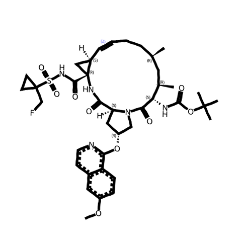 COc1ccc2c(O[C@@H]3C[C@H]4C(=O)N[C@]5(C(=O)NS(=O)(=O)C6(CF)CC6)C[C@H]5/C=C\CC[C@@H](C)C[C@@H](C)[C@H](NC(=O)OC(C)(C)C)C(=O)N4C3)nccc2c1